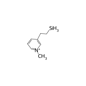 C[n+]1cccc(CC[SiH3])c1